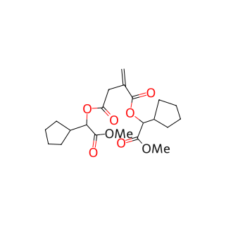 C=C(CC(=O)OC(C(=O)OC)C1CCCC1)C(=O)OC(C(=O)OC)C1CCCC1